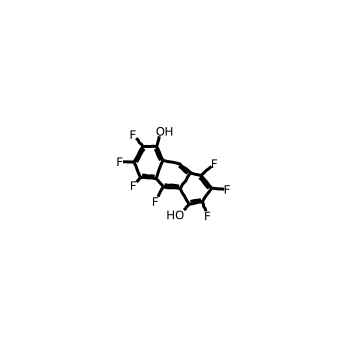 Oc1c(F)c(F)c(F)c2c(F)c3c(O)c(F)c(F)c(F)c3cc12